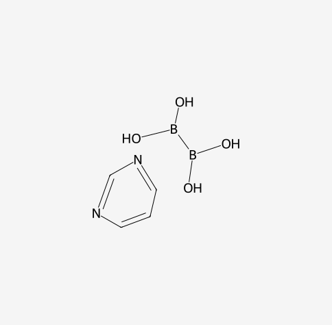 OB(O)B(O)O.c1cncnc1